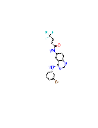 O=C(C=CC(F)(F)F)Nc1ccc2ncnc(Nc3cccc(Br)c3)c2c1